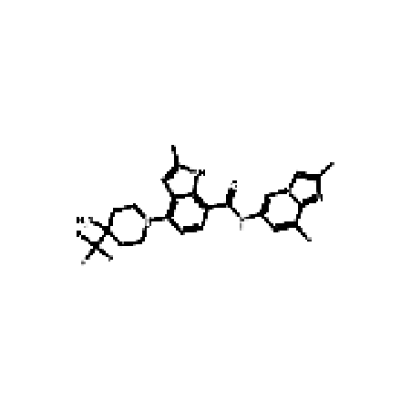 Cc1cn2cc(NC(=O)c3ccc(N4CCC(N)(C(F)(F)F)CC4)c4cc(C)[nH]c34)cc(F)c2n1